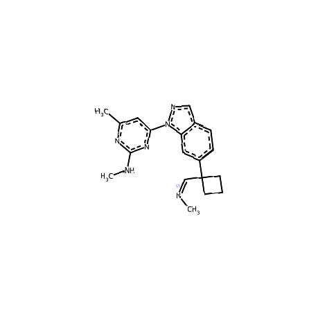 C/N=C\C1(c2ccc3cnn(-c4cc(C)nc(NC)n4)c3c2)CCC1